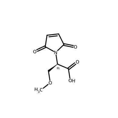 COC[C@H](C(=O)O)N1C(=O)C=CC1=O